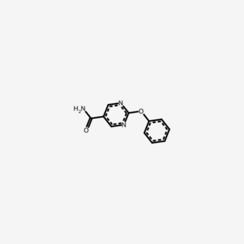 NC(=O)c1cnc(Oc2ccccc2)nc1